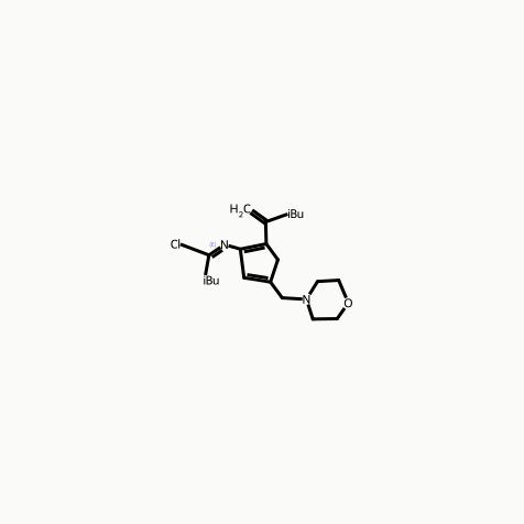 C=C(C1=C(/N=C(/Cl)C(C)CC)C=C(CN2CCOCC2)C1)C(C)CC